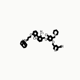 Cc1c(COc2cc(OCc3cncc(C#N)c3)c(CN3CCCCC3)cc2Cl)cccc1-c1cccc(OCCCNC23CC4CC(CC(C4)C2)C3)c1C